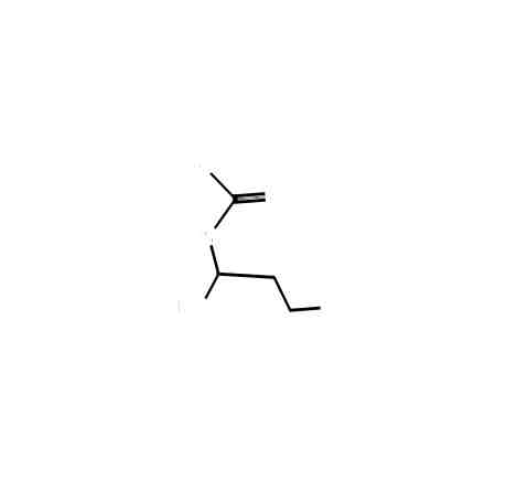 [CH2]C(=O)NC(C)CCC